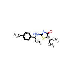 Cc1ccc(C(C)NC2=NC(=O)[C@H](C(C)C)S2)cc1